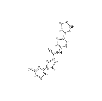 O=C(Nc1ccc([C@H]2CNCCO2)cc1)c1cnn(-c2cc(Cl)ccn2)c1